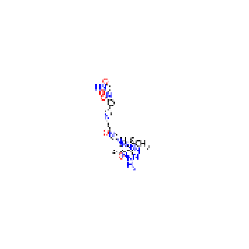 CC(C)n1nc(-c2noc(C3CC3)c2-c2cn(C3CCN(C(=O)CCCCN4CCC(c5ccc6c(c5)C(=O)N(C5CCC(=O)NC5=O)C6)CC4)CC3)cn2)c2c(N)ncnc21